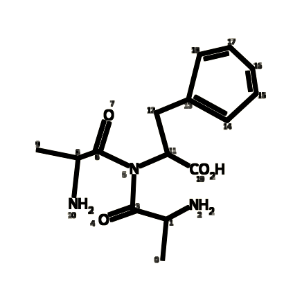 CC(N)C(=O)N(C(=O)C(C)N)C(Cc1ccccc1)C(=O)O